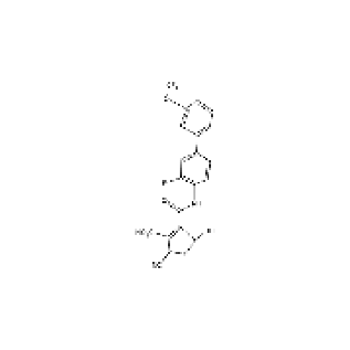 N#CC1OC(O)C(C(=O)Nc2ccc(-c3cccc(OC(F)(F)F)c3)cc2F)=C1C(=O)O